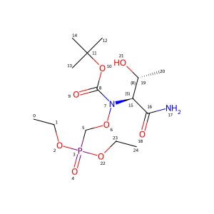 CCOP(=O)(CON(C(=O)OC(C)(C)C)[C@H](C(N)=O)[C@@H](C)O)OCC